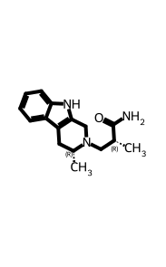 C[C@H](CN1Cc2[nH]c3ccccc3c2C[C@H]1C)C(N)=O